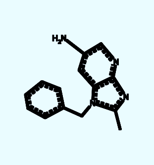 Cc1nc2ncc(N)cc2n1Cc1ccccc1